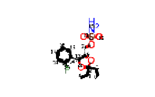 CCC1(CC)O[C@@H](COS(N)(=O)=O)[C@H](c2ccccc2F)O1